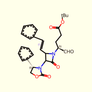 CC(C)(C)OC(=O)CC[C@@H](C=O)N1C(=O)C(N2C(=O)OC[C@@H]2c2ccccc2)C1/C=C/c1ccccc1